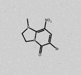 CN1CCn2c1c([N+](=O)[O-])cc(Br)c2=O